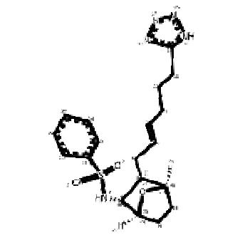 O=S(=O)(N[C@@H]1[C@@H](CC=CCCCc2nnn[nH]2)[C@H]2CC[C@@H]1O2)c1ccccc1